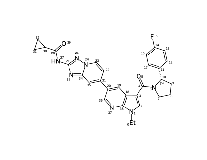 CCn1cc(C(=O)N2CCC[C@H]2c2ccc(F)cc2)c2cc(-c3ccn4nc(NC(=O)C5CC5)nc4c3)cnc21